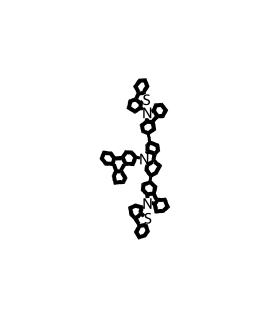 c1ccc2c(c1)sc1c(-n3c4ccccc4c4cc(-c5ccc6c7ccc(-c8ccc9c(c8)c8ccccc8n9-c8cccc9c8sc8ccccc89)cc7n(-c7ccc8c9ccccc9c9ccccc9c8c7)c6c5)ccc43)cccc12